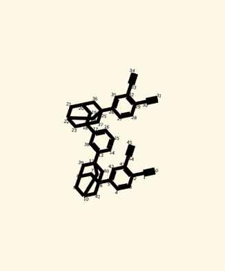 C#Cc1ccc(C23CC4CC(CC(c5cccc(C67CC8CC(C6)CC(c6ccc(C#C)c(C#C)c6)(C8)C7)c5)(C4)C2)C3)cc1C#C